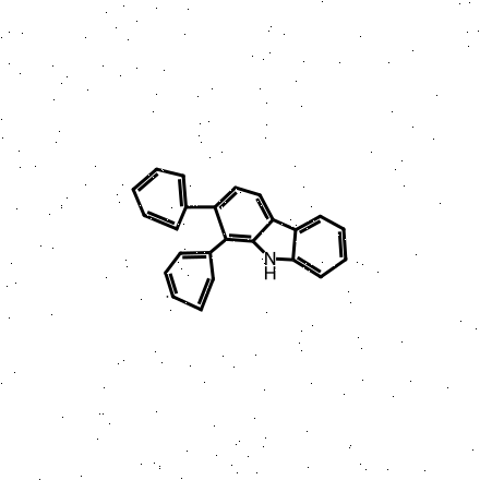 [c]1ccc(-c2c(-c3ccccc3)ccc3c2[nH]c2ccccc23)cc1